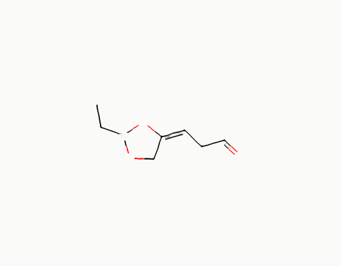 CCB1OCC(=CCC=O)O1